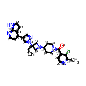 N#CCC1(n2cc(-c3ccnc4[nH]ccc34)cn2)CN(C2CCN(C(=O)c3ccnc(C(F)(F)F)c3F)CC2)C1